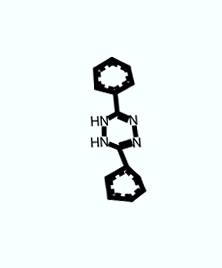 c1ccc(C2=NN=C(c3ccccc3)NN2)cc1